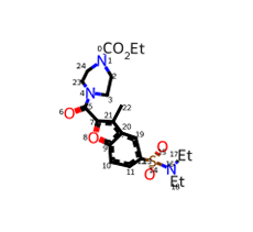 CCOC(=O)N1CCN(C(=O)c2oc3ccc(S(=O)(=O)N(CC)CC)cc3c2C)CC1